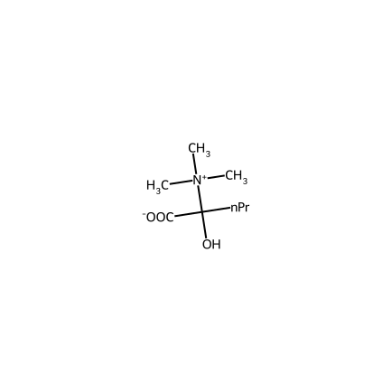 CCCC(O)(C(=O)[O-])[N+](C)(C)C